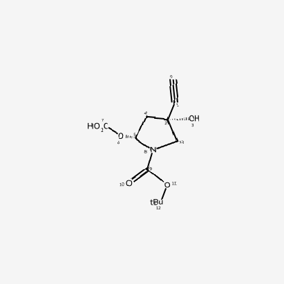 C#C[C@]1(O)C[C@@H](OC(=O)O)N(C(=O)OC(C)(C)C)C1